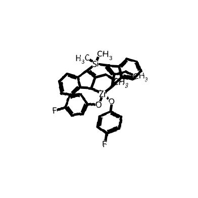 CCC1=C2c3ccccc3[CH]1[Zr]([O]c1ccc(F)cc1)([O]c1ccc(F)cc1)[CH]1C(CC)=C(c3ccccc31)[Si]2(C)C